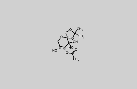 CC(=O)O[C@@H]1[C@H](O)CO[C@]2(COC(C)(C)O2)C1(O)O